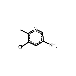 [CH2]c1ncc(N)cc1Cl